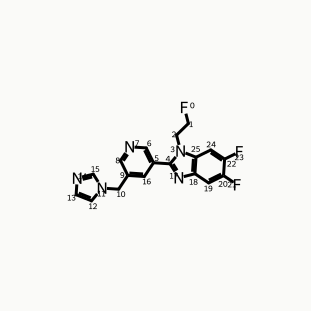 FCCn1c(-c2cncc(Cn3ccnc3)c2)nc2cc(F)c(F)cc21